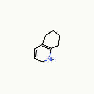 [C]1C=CC2=C(CCCC2)N1